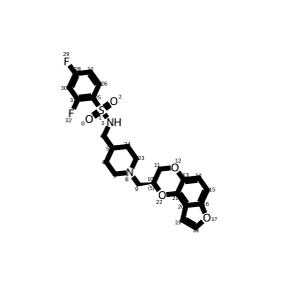 O=S(=O)(NCC1CCN(C[C@H]2COc3ccc4occc4c3O2)CC1)c1ccc(F)cc1F